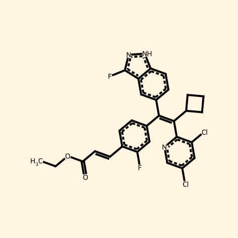 CCOC(=O)/C=C/c1ccc(/C(=C(\c2ncc(Cl)cc2Cl)C2CCC2)c2ccc3[nH]nc(F)c3c2)cc1F